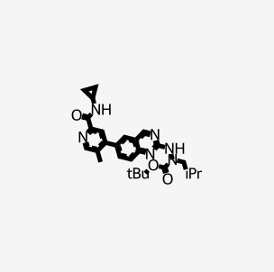 Cc1cnc(C(=O)NC2CC2)cc1-c1ccc2nc(NN(CC(C)C)C(=O)OC(C)(C)C)ncc2c1